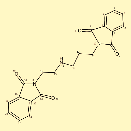 O=C1c2ccccc2C(=O)N1CCCNCCN1C(=O)c2ccccc2C1=O